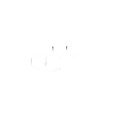 C#N.N[C@@H](CO)C[C@H](O)c1ccccc1